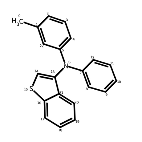 Cc1cccc(N(c2ccccc2)c2csc3ccccc23)c1